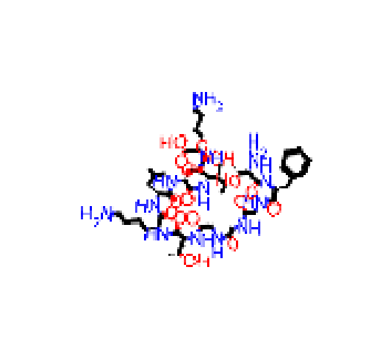 CC[C@H](C)[C@H](NC(=O)[C@H](CCC(=O)O)NC(=O)[C@H](CC(C)C)NC(=O)[C@H](CCCCN)NC(=O)[C@@H](NC(=O)CNC(=O)CNC(=O)CNC(=O)[C@H](Cc1ccccc1)NC(=O)[C@@H](N)[C@@H](C)O)[C@@H](C)O)C(=O)N[C@@H](CCCCN)C(=O)O